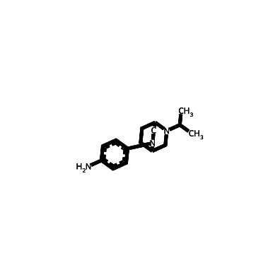 CC(C)N1CC2CCC1CN2c1ccc(N)cc1